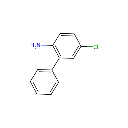 Nc1ccc(Cl)cc1-c1ccccc1